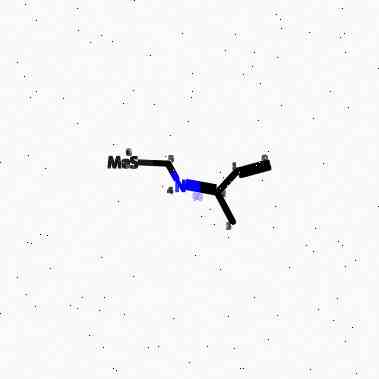 C=C/C(C)=N\CSC